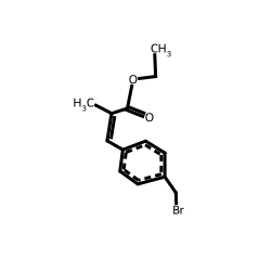 CCOC(=O)C(C)=Cc1ccc(CBr)cc1